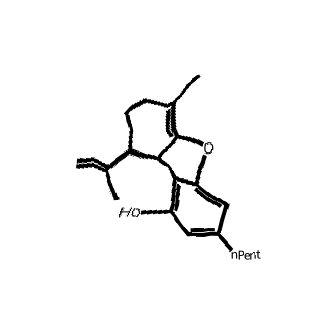 C=C(C)C1CCC(C)=C2Oc3cc(CCCCC)cc(O)c3C21